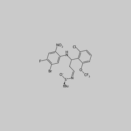 CC(C)(C)[S@@+]([O-])/N=C\CC(Nc1cc(Br)c(F)cc1[N+](=O)[O-])c1c(Cl)cccc1OC(F)(F)F